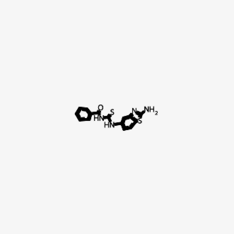 Nc1nc2cc(NC(=S)NC(=O)c3ccccc3)ccc2s1